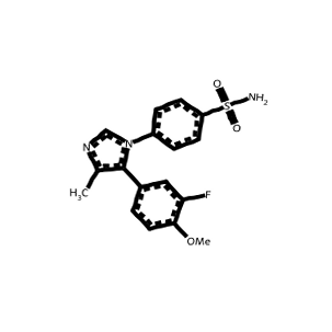 COc1ccc(-c2c(C)ncn2-c2ccc(S(N)(=O)=O)cc2)cc1F